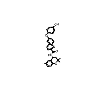 CC1(C)C[C@@H](NC(=O)c2ccc3cc(Oc4ccc(C#N)cc4)ccc3n2)c2cc(F)ccc2O1